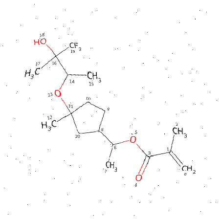 C=C(C)C(=O)OC(C)C1CCC(C)(OC(C)C(C)(O)C(F)(F)F)C1